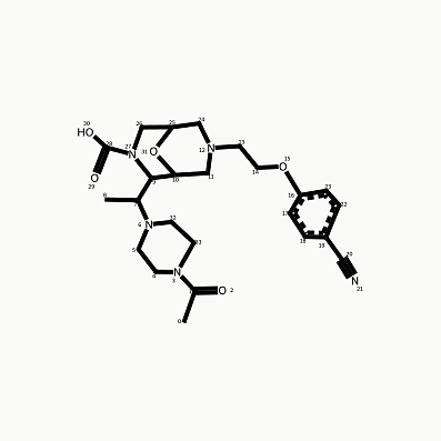 CC(=O)N1CCN(C(C)C2C3CN(CCOc4ccc(C#N)cc4)CC(CN2C(=O)O)O3)CC1